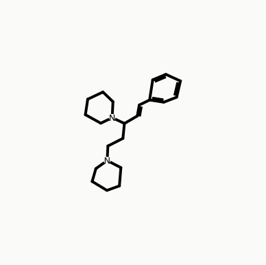 C(=CC(CCN1CCCCC1)N1CCCCC1)c1ccccc1